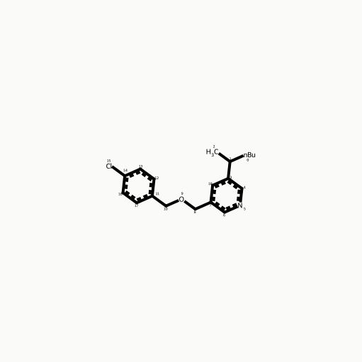 CCCCC(C)c1cncc(COCc2ccc(Cl)cc2)c1